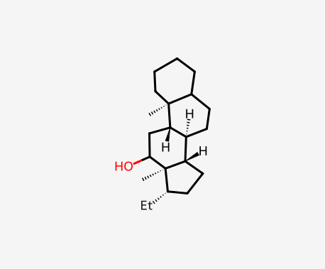 CC[C@H]1CC[C@H]2[C@@H]3CCC4CCCC[C@]4(C)[C@H]3CC(O)[C@]12C